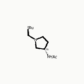 CC(=O)N[C@H]1CCN(CC(C)(C)C)C1